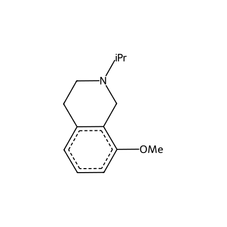 COc1cccc2c1CN(C(C)C)CC2